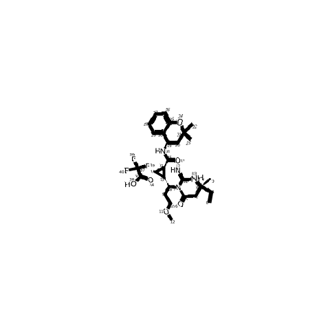 CC[C@]1(C)CC(=O)N(C(CCOC)[C@@H]2C[C@H]2C(=O)N[C@@H]2CC(C)(C)Oc3ccccc32)C(=N)N1.O=C(O)C(F)(F)F